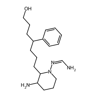 N/C=N\N1CCCC(N)C1CCCC(CCCO)c1ccccc1